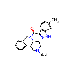 CCCCN1CCC(N(Cc2ccccc2)C(=O)c2n[nH]c3cc(C)ccc23)CC1